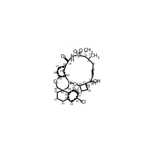 CC(C)[C@@]1(O)/C=C/C[C@H](C)[C@@H](C)S(=O)(=O)NC(=O)c2ccc3c(c2)N(C[C@@H]2CC[C@H]21)C[C@@]1(CCCc2cc(Cl)ccc21)CO3